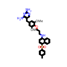 COc1cc(Cc2cnc(N)nc2N)cc(OC)c1OCCCNc1ccc(S(=O)(=O)c2ccc(C)cc2)c2ccccc12